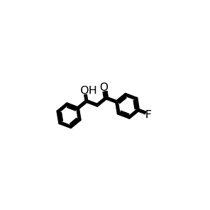 O=C(CC(O)c1ccccc1)c1ccc(F)cc1